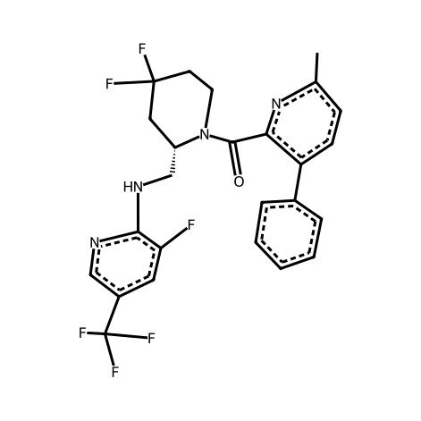 Cc1ccc(-c2ccccc2)c(C(=O)N2CCC(F)(F)C[C@H]2CNc2ncc(C(F)(F)F)cc2F)n1